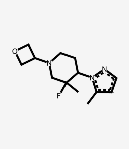 Cc1[c]cnn1C1CCN(C2COC2)CC1(C)F